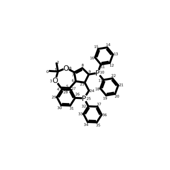 CC1(C)OCCC2C(=CC(P(c3ccccc3)c3ccccc3)C2CP(c2ccccc2)c2ccccc2)O1